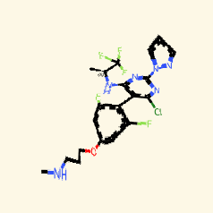 CNCCCOc1cc(F)c(-c2c(Cl)nc(-n3cccn3)nc2N[C@@H](C)C(F)(F)F)c(F)c1